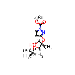 CC(C)(C)OC(=O)n1ccc(OC(C)(CO)CO[Si](C)(C)C(C)(C)C)n1